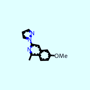 COc1ccc2c(C)nc(-n3cccn3)cc2c1